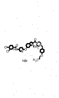 Br.CCCOc1ccc(CN2CCN(C(=O)c3cc4ccc(Oc5ccc(NC(=O)c6ccc(Cl)c(Cl)c6)cn5)cc4n3C)CC2)cc1